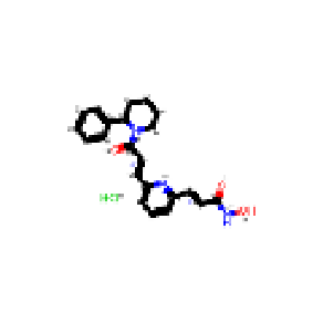 Cl.O=C(/C=C/c1cccc(/C=C/C(=O)N2CCCCC2c2ccccc2)n1)NO